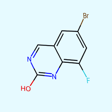 Oc1ncc2cc(Br)cc(F)c2n1